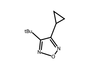 CC(C)(C)c1nonc1C1CC1